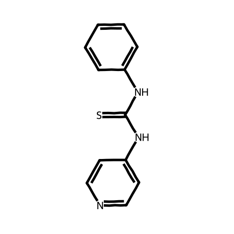 S=C(Nc1ccccc1)Nc1ccncc1